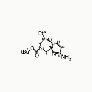 CC[C@@H]1CN(C(=O)OC(C)(C)C)Cc2nc(N)ccc2O1